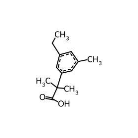 CCc1cc(C)cc(C(C)(C)C(=O)O)c1